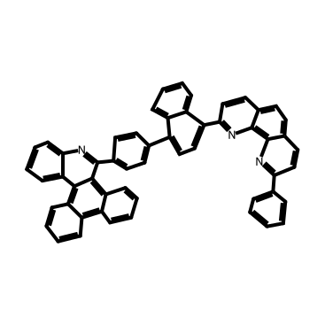 c1ccc(-c2ccc3ccc4ccc(-c5ccc(-c6ccc(-c7nc8ccccc8c8c9ccccc9c9ccccc9c78)cc6)c6ccccc56)nc4c3n2)cc1